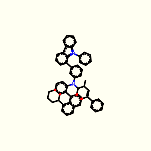 CC1C=C(c2ccccc2)C=CC1N(c1cccc(-c2cccc3c4ccccc4n(-c4ccccc4)c23)c1)c1ccccc1-c1cccc2cccc(C3CCCCC3)c12